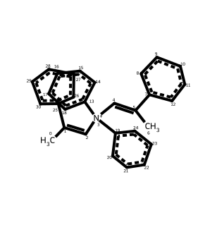 CC(=C[N+](C=C(C)c1ccccc1)(c1ccccc1)c1ccccc1)c1ccccc1